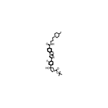 CC(C)(C)OC(=O)N1CCC(O)(c2ccc(-c3cn4c(n3)sc3cc(C(=O)NCCCN5CCC(F)CC5)ccc34)c(F)c2)C1